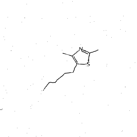 [CH2]CCCCc1sc(C)nc1C